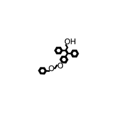 OCC/C(=C(\c1ccccc1)c1ccc(OCCOCc2ccccc2)cc1)c1ccccc1